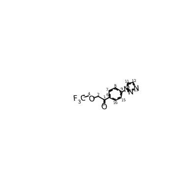 O=C(COCC(F)(F)F)c1ccc(-n2ccnn2)cc1